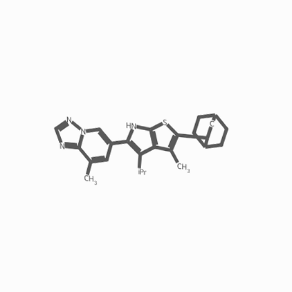 Cc1c(C2CC3CCC2CC3)sc2[nH]c(-c3cc(C)c4ncnn4c3)c(C(C)C)c12